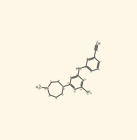 C#Cc1cccc(Nc2cc(N3CCCN(C)CC3)nc(N)n2)c1